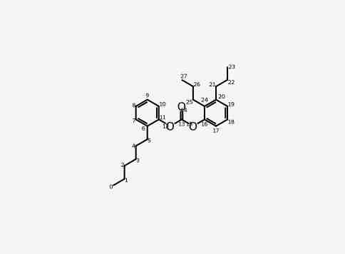 CCCCCCc1ccccc1OC(=O)Oc1cccc(CCC)c1CCC